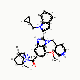 COc1cc(C(=O)N2C[C@H]3CC[C@@H]2[C@@H]3N)cc2nc(-c3cc4ccccc4n3CC3CC3)n(Cc3ccncc3)c12